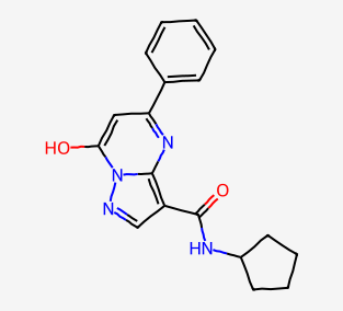 O=C(NC1CCCC1)c1cnn2c(O)cc(-c3ccccc3)nc12